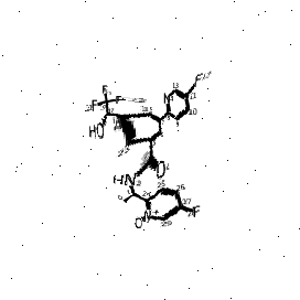 C[C@@H](NC(=O)c1cc(-c2ccc(F)cn2)cc(C(O)C(F)(F)F)c1)c1ccc(F)c[n+]1[O-]